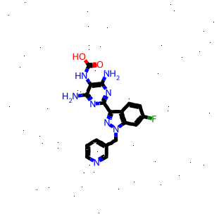 Nc1nc(-c2nn(Cc3cccnc3)c3cc(F)ccc23)nc(N)c1NC(=O)O